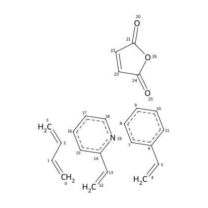 C=CC=C.C=Cc1ccccc1.C=Cc1ccccn1.O=C1C=CC(=O)O1